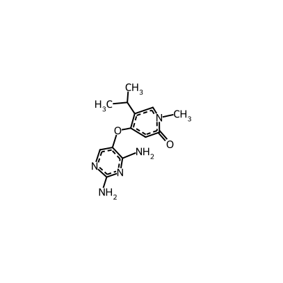 CC(C)c1cn(C)c(=O)cc1Oc1cnc(N)nc1N